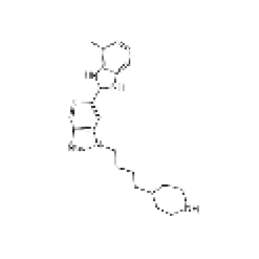 Cc1cccc2c1NC(c1ccc3ncn(CCCCC4CCNCC4)c3c1)N2